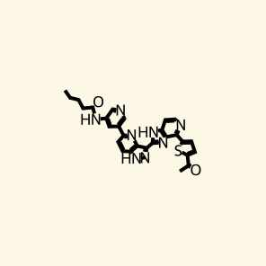 CCCCC(=O)Nc1cncc(-c2ccc3[nH]nc(-c4nc5c(-c6ccc(C(C)=O)s6)nccc5[nH]4)c3n2)c1